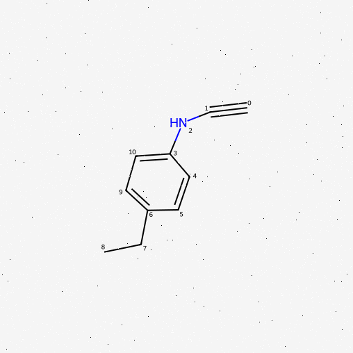 C#CNc1ccc(CC)cc1